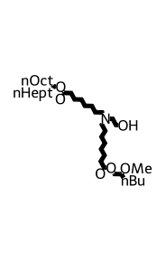 CCCCCCCCC(CCCCCCC)OC(=O)CCCCCCCN(CCO)CCCCCCCC(=O)OCC(CCCC)OC